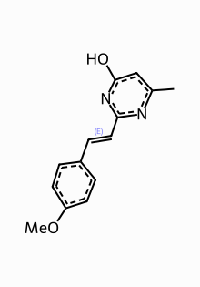 COc1ccc(/C=C/c2nc(C)cc(O)n2)cc1